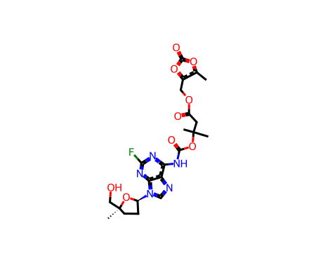 Cc1oc(=O)oc1COC(=O)CC(C)(C)OC(=O)Nc1nc(F)nc2c1ncn2[C@H]1CC[C@@](C)(CO)O1